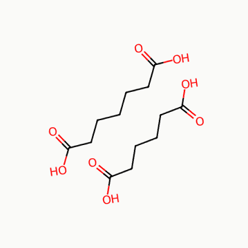 O=C(O)CCCCC(=O)O.O=C(O)CCCCCC(=O)O